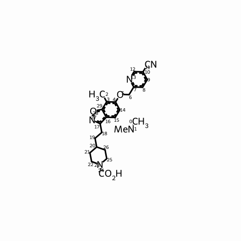 CNC.Cc1c(OCc2ccc(C#N)cn2)ccc2c(CCC3CCN(C(=O)O)CC3)noc12